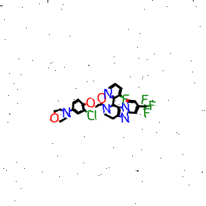 O=C(COc1ccc(N2CCOCC2)cc1Cl)N1CCc2nc3cc(C(F)(F)F)ccn3c2C1c1ncccc1F